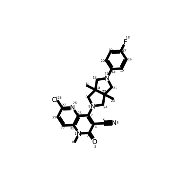 Cn1c(=O)c(C#N)c(N2CC3(C)CN(c4ccc(F)cc4)CC3(C)C2)c2nc(Cl)ccc21